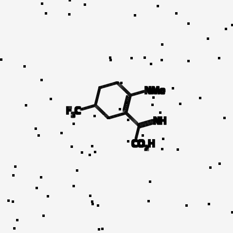 CNC1=C(C(=N)C(=O)O)CC(C(F)(F)F)CC1